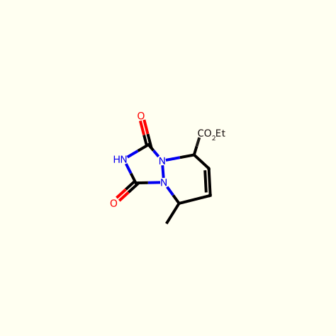 CCOC(=O)C1C=CC(C)n2c(=O)[nH]c(=O)n21